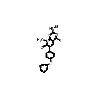 CCNc1nc(I)c2cc(-c3ccc(Oc4ccccc4)cc3)c(=O)n(C)c2n1